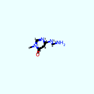 Cn1cnc(/N=C/N)cc1=O